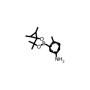 Cc1ccc(N)cc1B1OC(C)(C)C2(O1)C(C)C2C